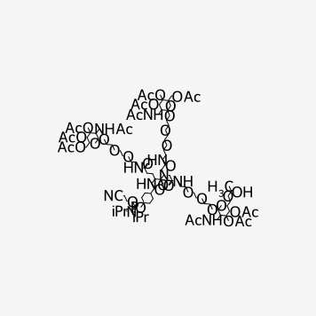 CC(=O)NC1C(OCCOCCOCCNC(=O)CCC(NC(=O)C2CCC(OP(OCCC#N)N(C(C)C)C(C)C)CC2)C(=O)N(CC(=O)NCCOCCOCCOC2OC(COC(C)=O)C(OC(C)=O)C(OC(C)=O)C2NC(C)=O)CC(=O)NCCOCCOCCOC2OC(COC(C)O)C(OC(C)=O)C(OC(C)=O)C2NC(C)=O)OC(COC(C)=O)C(OC(C)=O)C1OC(C)=O